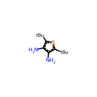 CC(C)(C)c1sc(C(C)(C)C)c(N)c1N